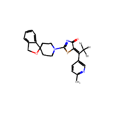 [2H]C([2H])([2H])/C(=C1/SC(N2CCC3(CC2)OCc2ccccc23)=NC1=O)c1ccc(C)nc1